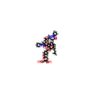 CC(=O)C(C)(C/C=C(/C)C(=O)NN1CCCCC1)OC(C)(C)CC1Oc2c(CC=C(C)C)c3c(c(OC(=O)c4ccc(O[C@H]5CC[C@H](O)[C@@H](CO)O5)cc4)c2C(=O)C1C(C)NN1CCCCC1)C=CC(C)(CCC=C(C)C)O3